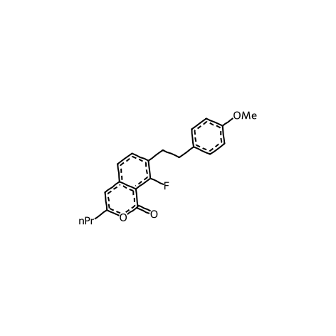 CCCc1cc2ccc(CCc3ccc(OC)cc3)c(F)c2c(=O)o1